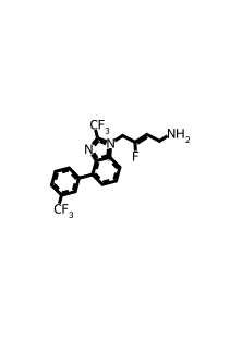 NC/C=C(\F)Cn1c(C(F)(F)F)nc2c(-c3cccc(C(F)(F)F)c3)cccc21